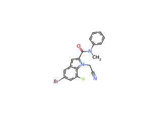 CN(C(=O)c1cc2cc(Br)cc(F)c2n1CC#N)c1ccccc1